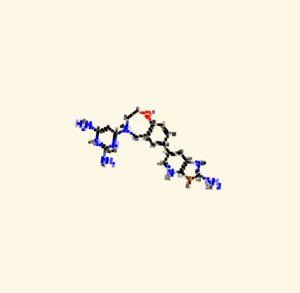 Nc1cc(N2CCOc3ccc(-c4cnc5sc(N)nc5c4)cc3C2)nc(N)n1